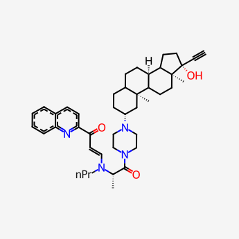 C#C[C@]1(O)CCC2[C@@H]3CCC4CC[C@@H](N5CCN(C(=O)[C@H](C)N(/C=C/C(=O)c6ccc7ccccc7n6)CCC)CC5)C[C@]4(C)C3CC[C@@]21C